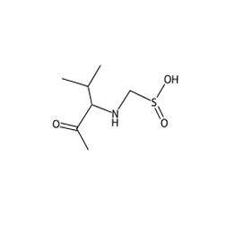 CC(=O)C(NCS(=O)O)C(C)C